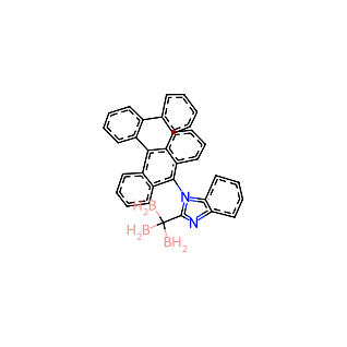 BC(B)(B)c1nc2ccccc2n1-c1c2ccccc2c(-c2ccccc2-c2ccccc2)c2ccccc12